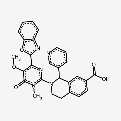 COc1c(-c2nc3ccccc3o2)nc(N2CCc3ccc(C(=O)O)cc3C2c2cccnc2)n(C)c1=O